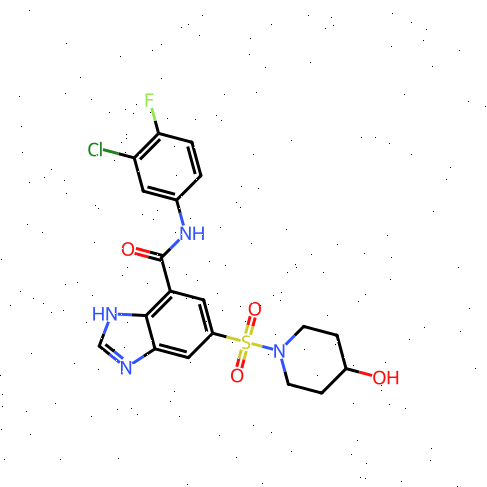 O=C(Nc1ccc(F)c(Cl)c1)c1cc(S(=O)(=O)N2CCC(O)CC2)cc2nc[nH]c12